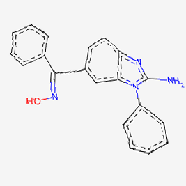 Nc1nc2ccc(C(=NO)c3ccccc3)cc2n1-c1ccccc1